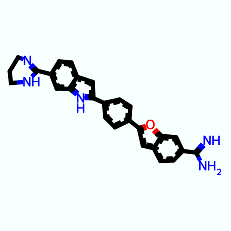 N=C(N)c1ccc2cc(-c3ccc(-c4cc5ccc(C6=NCCCN6)cc5[nH]4)cc3)oc2c1